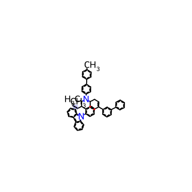 C/C=C\C(c1ccccc1-n1c2ccccc2c2ccccc21)C(C)N(c1ccc(-c2ccc(C)cc2)cc1)C1C=CC(c2cccc(-c3ccccc3)c2)=CC1